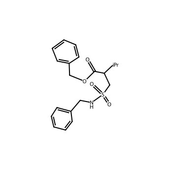 CC(C)C(CS(=O)(=O)NCc1ccccc1)C(=O)OCc1ccccc1